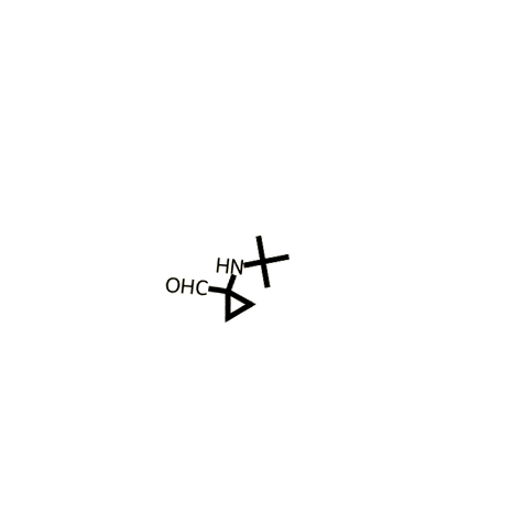 CC(C)(C)NC1(C=O)CC1